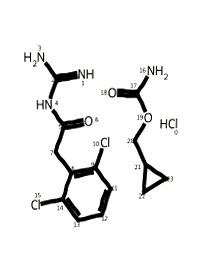 Cl.N=C(N)NC(=O)Cc1c(Cl)cccc1Cl.NC(=O)OCC1CC1